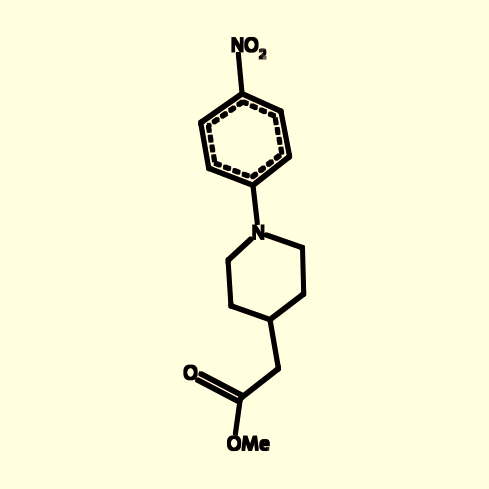 COC(=O)CC1CCN(c2ccc([N+](=O)[O-])cc2)CC1